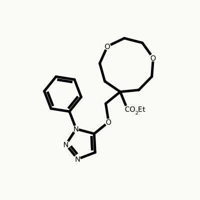 CCOC(=O)C1(COc2cnnn2-c2ccccc2)CCOCCOCC1